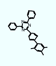 Cc1cc(C)c(-c2ccc(-c3nc(-c4ccccc4)nc(-c4ccccc4)n3)cc2)cc1C